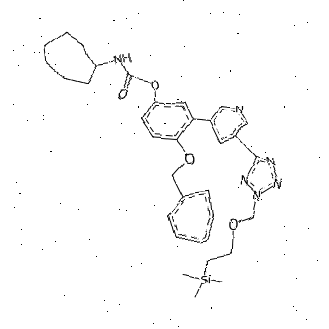 C[Si](C)(C)CCOCn1nnc(-c2cncc(-c3cc(OC(=O)NC4CCCCCC4)ccc3OCc3ccccc3)c2)n1